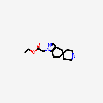 CCOC(=O)Cn1ncc2c1C=CC1(CCNCC1)C2